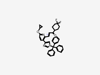 O=C(/C=C/c1nc(OC2CC2)ccc1-c1cn(C(c2ccccc2)(c2ccccc2)c2ccccc2)cn1)C1CCC(F)(F)CC1